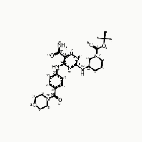 CC(C)(C)OC(=O)N1CCCC(Nc2nnc(C(N)=O)c(Nc3ccc(C(=O)N4CCOCC4)cc3)n2)C1